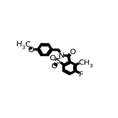 COc1ccc(CN2C(=O)c3c(ccc(F)c3C)S2(=O)=O)cc1